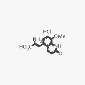 COc1ccc(C=C(N)C(=O)O)c2ccc(=O)[nH]c12.Cl